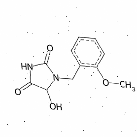 COc1ccccc1CN1C(=O)NC(=O)C1O